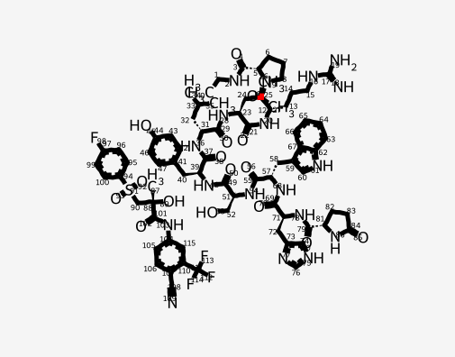 CCNC(=O)[C@@H]1CCCN1C(=O)[C@H](CCCNC(=N)N)NC(=O)[C@H](CC(C)C)NC(=O)[C@@H](CC(C)C)NC(=O)[C@H](Cc1ccc(O)cc1)NC(=O)[C@H](CO)NC(=O)[C@H](Cc1c[nH]c2ccccc12)NC(=O)[C@H](Cc1c[nH]cn1)NC(=O)[C@@H]1CCC(=O)N1.C[C@](O)(CS(=O)(=O)c1ccc(F)cc1)C(=O)Nc1ccc(C#N)c(C(F)(F)F)c1